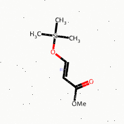 COC(=O)/C=C/O[Si](C)(C)C